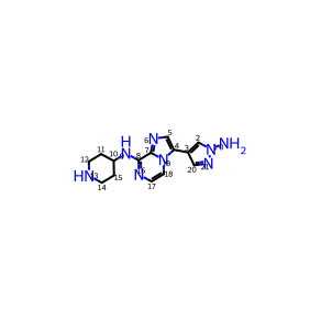 Nn1cc(-c2cnc3c(NC4CCNCC4)nccn23)cn1